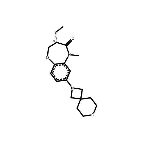 CC[C@H]1COc2ccc(N3CC4(CCOCC4)C3)cc2N(C)C1=O